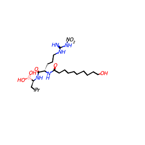 CC(C)C[C@H](NC(=O)[C@H](CCCNC(=N)N[N+](=O)[O-])NC(=O)CCCCCCCCCO)B(O)O